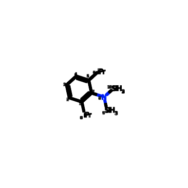 CC(C)c1cccc(C(C)C)c1N([SiH3])[SiH3]